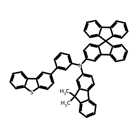 CC1(C)c2ccccc2-c2ccc(N(c3cccc(-c4ccc5sc6ccccc6c5c4)c3)c3ccc4c(c3)-c3ccccc3C43c4ccccc4-c4ccccc43)cc21